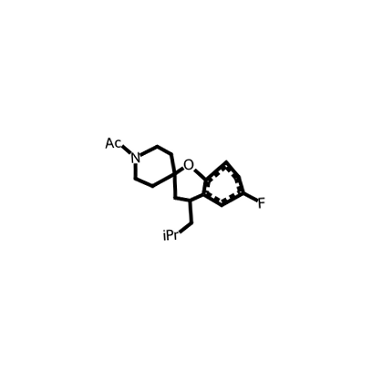 CC(=O)N1CCC2(CC1)CC(CC(C)C)c1cc(F)ccc1O2